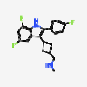 CNCC1CC(c2c(-c3ccc(F)cc3)[nH]c3c(F)cc(F)cc23)C1